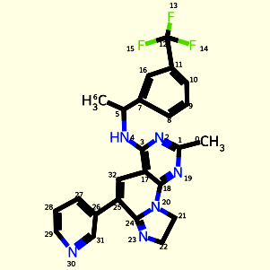 Cc1nc(NC(C)c2cccc(C(F)(F)F)c2)c2c(n1)N1CCN=C1C(c1cccnc1)=C2